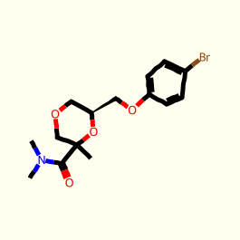 CN(C)C(=O)C1(C)COC[C@@H](COc2ccc(Br)cc2)O1